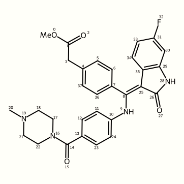 COC(=O)Cc1ccc(/C(Nc2ccc(C(=O)N3CCN(C)CC3)cc2)=C2/C(=O)Nc3cc(F)ccc32)cc1